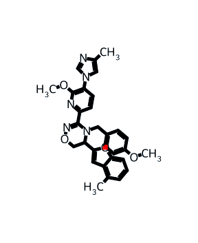 COc1ccc(CN2C(c3ccc(-n4cnc(C)c4)c(OC)n3)=NOCC2c2cc3c(C)cccc3o2)cc1